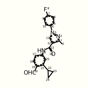 Cc1nn(-c2ccc(F)cc2)cc1C(=O)Nc1ccc(C=O)c(C2CC2)c1